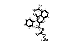 C[C@H](NC(=O)OC(C)(C)C)c1nc2cccc(C(F)F)c2c(=O)n1-c1ccccc1